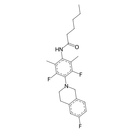 CCCCCC(=O)Nc1c(C)c(F)c(N2CCc3cc(F)ccc3C2)c(F)c1C